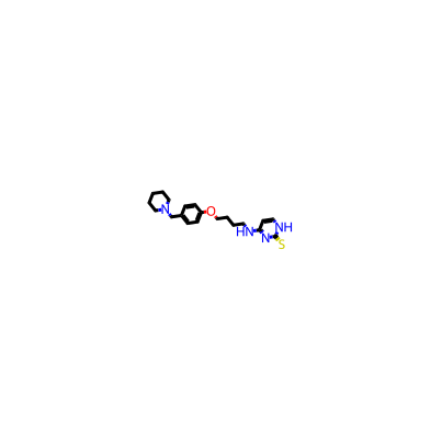 S=c1nc(NCCCCOc2ccc(CN3CCCCC3)cc2)cc[nH]1